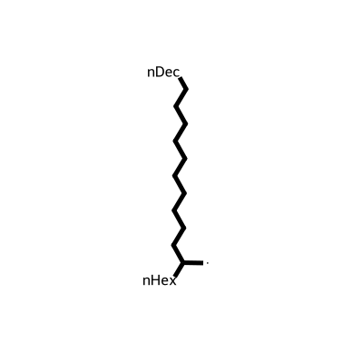 [CH2]C(CCCCCC)CCCCCCCCCCCCCCCCCCCC